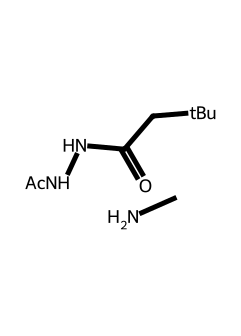 CC(=O)NNC(=O)CC(C)(C)C.CN